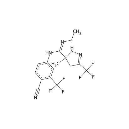 CC/N=C(/Nc1ccc(C#N)c(C(F)(F)F)c1)C1(C)CC(C(F)(F)F)=NN1